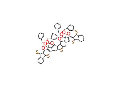 O=C(OCc1ccccc1)C1(C(=O)OCc2ccccc2)C(C=C2C(=S)c3ccccc3C2=S)=Cc2cc3sc4cc5c(cc4c3cc21)C(C(=O)OCc1ccccc1)(C(=O)OCc1ccccc1)C(C=C1C(=S)c2ccccc2C1=S)=C5